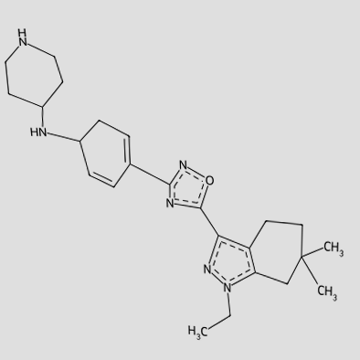 CCn1nc(-c2nc(C3=CCC(NC4CCNCC4)C=C3)no2)c2c1CC(C)(C)CC2